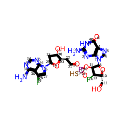 Nc1nc2c(ncn2[C@@H]2O[C@H](CO)[C@@H](F)[C@H]2OP(=O)(S)OCC[C@H]2O[C@@H](n3cc(F)c4c(N)ncnc43)C[C@@H]2O)c(=O)[nH]1